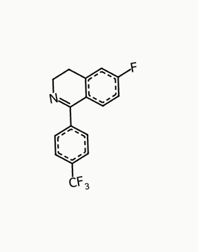 Fc1ccc2c(c1)CCN=C2c1ccc(C(F)(F)F)cc1